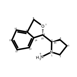 NN1CCC[C@@H]1[C@H]1OCc2ccccc21